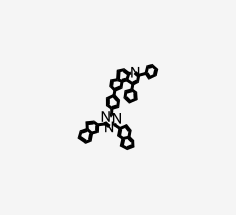 c1ccc(-c2cc(-c3ccccc3)c3c(ccc4ccc(-c5ccc(-c6nc(-c7ccc8ccccc8c7)nc(-c7ccc8ccccc8c7)n6)cc5)cc43)n2)cc1